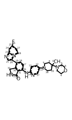 CC1(N2CCOCC2)CCN(c2ccc(Nc3ccc(-c4cnc5cc(F)ccn45)c4c3C(=O)NC4)nc2)CC1